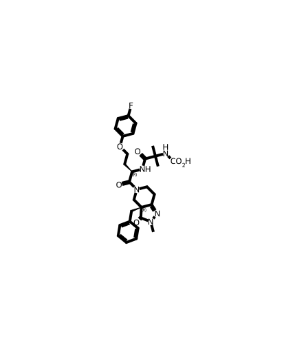 CN1N=C2CCN(C(=O)[C@@H](CCOc3ccc(F)cc3)NC(=O)C(C)(C)NC(=O)O)C[C@@]2(Cc2ccccc2)C1=O